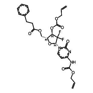 C=CCOC(=O)Nc1ccn([C@@H]2O[C@H](COC(=O)CCc3ccccc3)[C@@H](OC(=O)OCC=C)C2(F)F)c(=O)n1